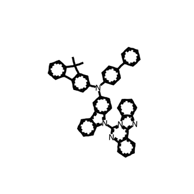 CC1(C)c2ccccc2-c2ccc(N(c3ccc(-c4ccccc4)cc3)c3ccc4c(c3)c3ccccc3n4-c3nc4ccccc4c4nc5ccccc5n34)cc21